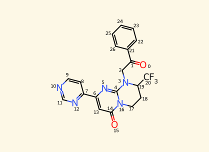 O=C(CN1c2nc(-c3ccncn3)cc(=O)n2CCC1C(F)(F)F)c1ccccc1